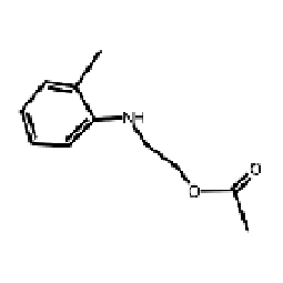 CC(=O)OCCNc1ccccc1C